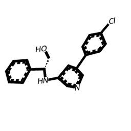 OC[C@H](Nc1cncc(-c2ccc(Cl)cc2)c1)c1ccccc1